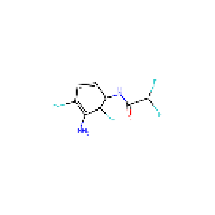 NC1=C(F)C=CC(NC(=O)C(F)F)C1F